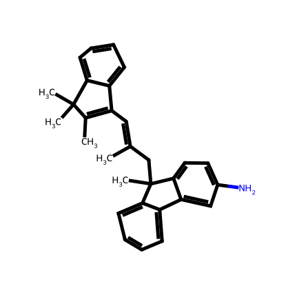 CC1=C(/C=C(\C)CC2(C)c3ccccc3-c3cc(N)ccc32)c2ccccc2C1(C)C